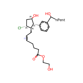 CCCCCC(O)c1cccc([C@@H]2[C@@H](C/C=C\CCCC(=O)OCCO)[C@H](Cl)C[C@H]2O)c1